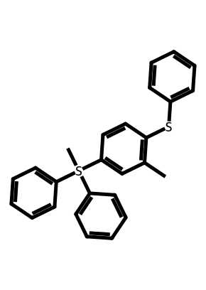 Cc1cc(S(C)(c2ccccc2)c2ccccc2)ccc1Sc1ccccc1